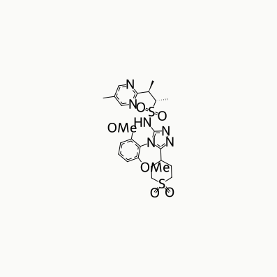 COc1cccc(OC)c1-n1c(NS(=O)(=O)[C@@H](C)[C@H](C)c2ncc(C)cn2)nnc1C1CCS(=O)(=O)CC1